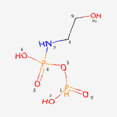 O=[PH](O)OP(=O)(O)NCCO